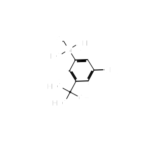 Cc1cc(C(C)(C)C)cc([Si](C)(C)Cl)c1